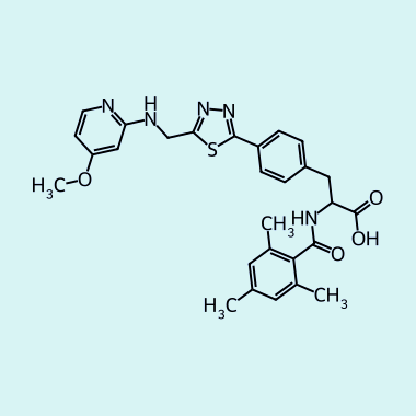 COc1ccnc(NCc2nnc(-c3ccc(CC(NC(=O)c4c(C)cc(C)cc4C)C(=O)O)cc3)s2)c1